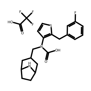 O=C(O)C(F)(F)F.O=C(O)N(CC1CC2CCC(C1)N2)c1ccsc1Cc1cccc(F)c1